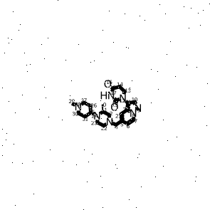 C[C@H]1CN(Cc2ccn3ncc(N4CCC(=O)NC4=O)c3c2)CCN1C1CCN(C)CC1